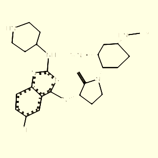 CC(=O)N[C@@H]1C[C@H](NC(C)(C)C)CC[C@@H]1N1CC[C@H](Nc2nc(NC3CCNCC3)nc3ccc(C(F)(F)F)cc23)C1=O